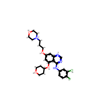 Fc1ccc(Nc2ncnc3cc(OCCCN4CCOCC4)cc(OC4CCOCC4)c23)cc1Cl